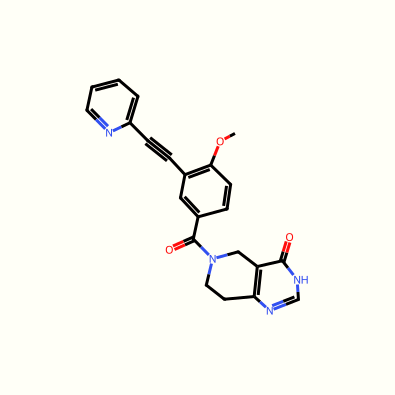 COc1ccc(C(=O)N2CCc3nc[nH]c(=O)c3C2)cc1C#Cc1ccccn1